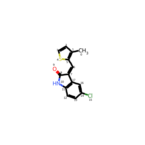 Cc1ccsc1/C=C1\C(=O)Nc2ccc(Cl)cc21